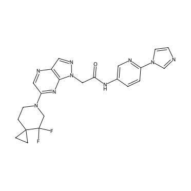 O=C(Cn1ncc2ncc(N3CCC4(CC4)C(F)(F)C3)nc21)Nc1ccc(-n2ccnc2)nc1